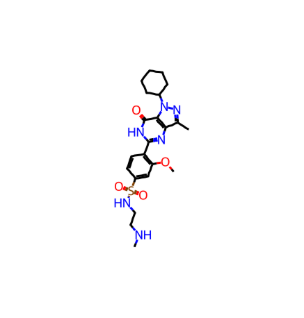 CNCCNS(=O)(=O)c1ccc(-c2nc3c(C)nn(C4CCCCC4)c3c(=O)[nH]2)c(OC)c1